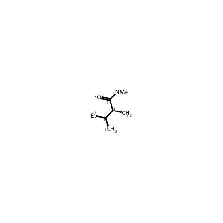 CCC(C)[C@H](C)C(=O)NC